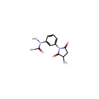 CCCC(=O)N(C=O)c1cccc(N2C(=O)CC(C)C2=O)c1